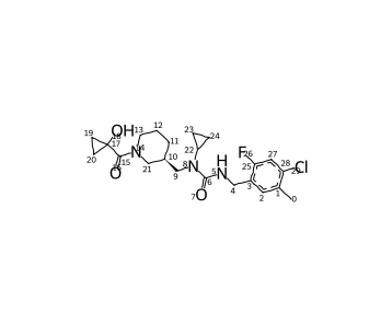 Cc1cc(CNC(=O)N(C[C@@H]2CCCN(C(=O)C3(O)CC3)C2)C2CC2)c(F)cc1Cl